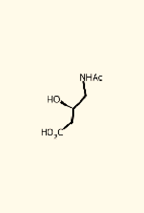 CC(=O)NC[C@H](O)CC(=O)O